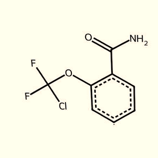 NC(=O)c1cc[c]cc1OC(F)(F)Cl